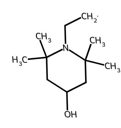 [CH2]CN1C(C)(C)CC(O)CC1(C)C